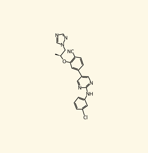 C[C@@H](Cn1cncn1)Oc1cc(-c2cnc(Nc3cccc(Cl)c3)nc2)ccc1C#N